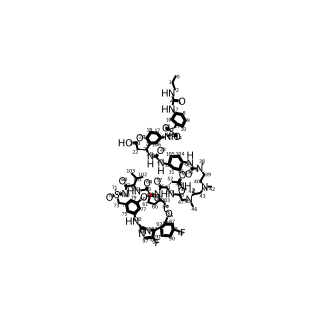 CCCNC(=O)Nc1cccc(S(=O)(=O)Nc2cccc([C@H](CC(=O)O)NC(=O)Nc3ccc(NC(=O)N(C)CCN(C)CCN(C)CC(=O)N[C@@H](CC(N)=O)C(=O)N4CCC[C@H]4C(=O)N[C@H](C(=O)N=[S@@](C)(=O)Cc4cc5cc(c4)OCCCCOc4cc(F)ccc4-c4nc(ncc4F)N5)C(C)C)cc3)c2)c1